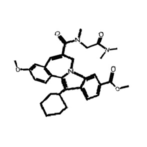 COC(=O)c1ccc2c(C3CCCCC3)c3n(c2c1)CC(C(=O)N(C)CC(=O)N(C)C)=Cc1cc(OC)ccc1-3